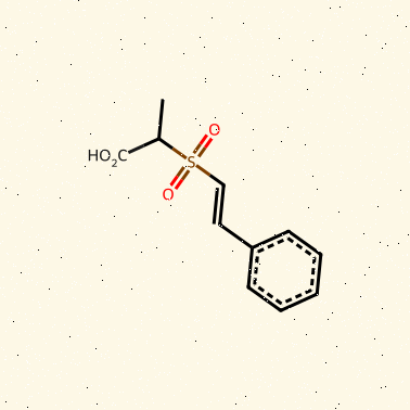 CC(C(=O)O)S(=O)(=O)C=Cc1ccccc1